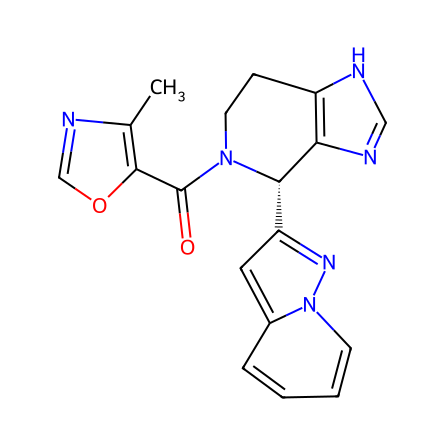 Cc1ncoc1C(=O)N1CCc2[nH]cnc2[C@@H]1c1cc2ccccn2n1